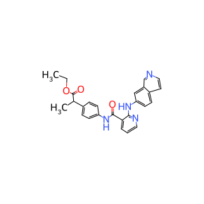 CCOC(=O)C(C)c1ccc(NC(=O)c2cccnc2Nc2ccc3ccncc3c2)cc1